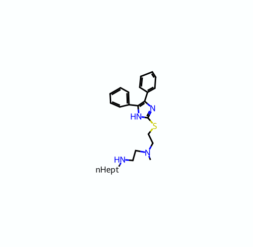 CCCCCCCNCCN(C)CCSc1nc(-c2ccccc2)c(-c2ccccc2)[nH]1